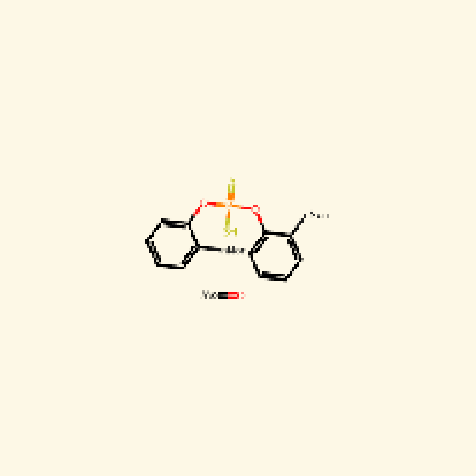 CCCCCCCCCc1ccccc1OP(=S)(S)Oc1ccccc1CCCCCCCCC.[O]=[Mo]